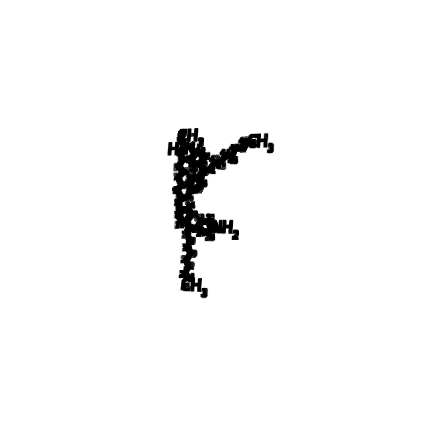 CCCCCCCCCCC(Cc1ccc(C(CCCCCCCCC)c2ccc(N)cc2)cc1)Cc1ccc(C(CCCCCCCCC)c2ccc(N)cc2)cc1